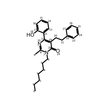 CCCCCCCn1c(C)nc(-c2ccccc2O)c(CCc2ccccc2)c1=O